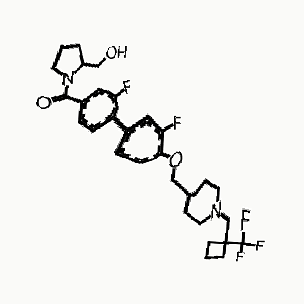 O=C(c1ccc(-c2ccc(OCC3CCN(CC4(C(F)(F)F)CCC4)CC3)c(F)c2)c(F)c1)N1CCCC1CO